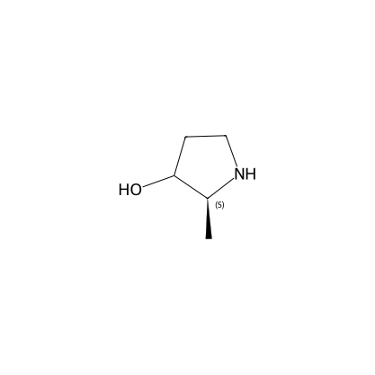 C[C@@H]1NCCC1O